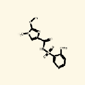 COc1ccccc1S(=O)(=O)NC(=O)c1cn(C)c(SC(C)C)n1